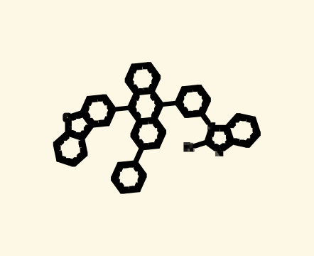 CCc1nc2ccccc2n1-c1cccc(-c2c3ccccc3c(-c3ccc4oc5ccccc5c4c3)c3cc(-c4ccccc4)ccc23)c1